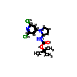 CC(C)(C)OC(=O)NC1CCCN1c1cc(Cl)nc(Cl)c1